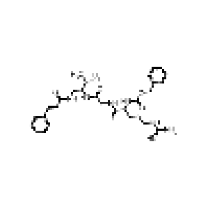 CC(C)C(CNC(=O)/C=C/c1ccccc1)NC(=O)CNC(=O)C(CCCNC(=N)N)NC(=O)OCc1ccccc1